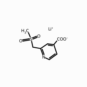 CS(=O)(=O)Cc1cc(C(=O)[O-])ccn1.[Li+]